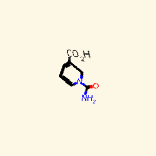 NC(=O)N1C=CC=C(C(=O)O)C1